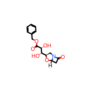 O=C(OCc1ccccc1)[C@H](O)[C@@H](O)[C@H]1CN2C(=O)C[C@@H]2O1